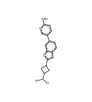 CCN(CC)C1CC(c2nc3ccc(-c4cnc(OC)nc4)cc3s2)C1